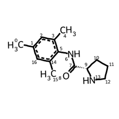 Cc1cc(C)c(NC(=O)[C@@H]2CCCN2)c(C)c1